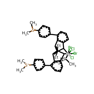 CCC1=Cc2c(-c3ccc([S+](C)C)cc3)cccc2[CH]1[Zr]([Cl])([Cl])([Br])([Br])([CH]1C(CC)=Cc2c(-c3ccc([S+](C)C)cc3)cccc21)[SiH](C)C